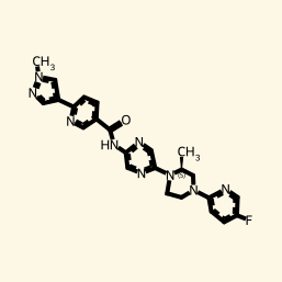 C[C@H]1CN(c2ccc(F)cn2)CCN1c1cnc(NC(=O)c2ccc(-c3cnn(C)c3)nc2)cn1